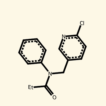 CCC(=O)N(Cc1ccc(Cl)nc1)c1ccccc1